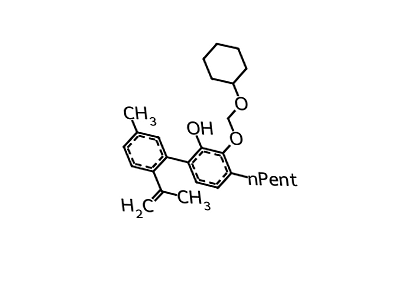 C=C(C)c1ccc(C)cc1-c1ccc(CCCCC)c(OCOC2CCCCC2)c1O